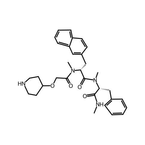 CNC(=O)[C@@H](Cc1ccccc1)N(C)C(=O)[C@@H](Cc1ccc2ccccc2c1)N(C)C(=O)COC1CCNCC1